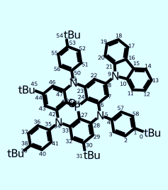 CC(C)(C)c1ccc(N2c3cc(-n4c5ccccc5c5ccccc54)cc4c3P3(=O)c5c2cc(C(C)(C)C)cc5N(c2ccc(C(C)(C)C)cc2)c2cc(C(C)(C)C)cc(c23)N4c2ccc(C(C)(C)C)cc2)cc1